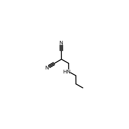 CCCNCC(C#N)C#N